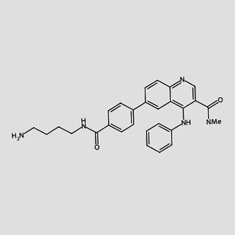 CNC(=O)c1cnc2ccc(-c3ccc(C(=O)NCCCCN)cc3)cc2c1Nc1ccccc1